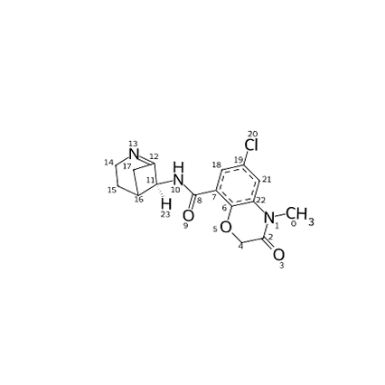 CN1C(=O)COc2c(C(=O)N[C@@H]3C4=NCCC3C4)cc(Cl)cc21